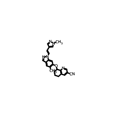 Cc1cc2cnn(C=Cc3cnn(C)c3)c2cc1OC1CCCc2cc(C#N)cnc21